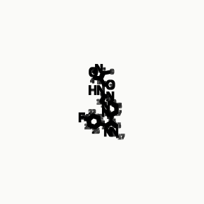 Cc1nocc1C(=O)Nc1cn2nc(-c3cn(C)nc3-c3ccc(F)cc3)ccc2n1